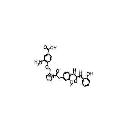 COc1cc(CC(=O)N2CCC[C@H]2COc2ccc(C(=O)O)cc2N)ccc1NC(=O)Nc1ccccc1O